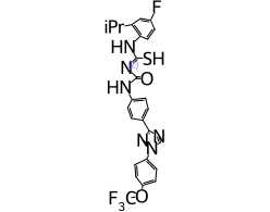 CC(C)c1cc(F)ccc1N/C(S)=N/C(=O)Nc1ccc(-c2ncn(-c3ccc(OC(F)(F)F)cc3)n2)cc1